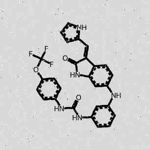 O=C(Nc1ccc(OC(F)(F)F)cc1)Nc1cccc(Nc2ccc3c(c2)NC(=O)C3=Cc2ccc[nH]2)c1